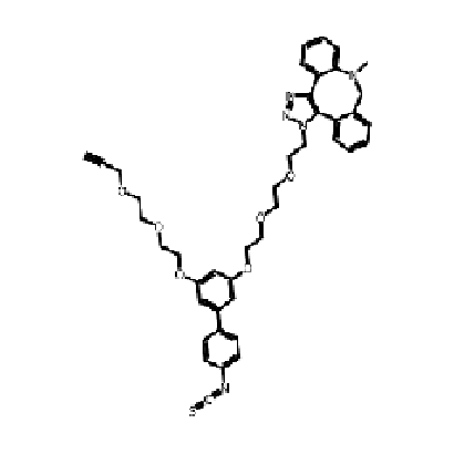 C#CCOCCOCCOc1cc(OCCOCCOCCn2nnc3c2-c2ccccc2CN(C)c2ccccc2-3)cc(-c2ccc(N=C=S)cc2)c1